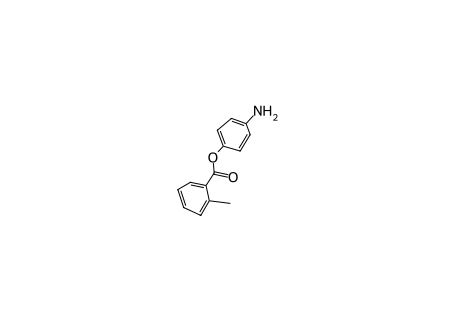 Cc1ccccc1C(=O)Oc1ccc(N)cc1